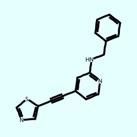 C(#Cc1[c]ncs1)c1ccnc(NCc2ccccc2)c1